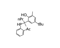 CCCC(C)(Pc1ccccc1C(C)=O)c1cc(C(C)(C)C)cc(C)c1O